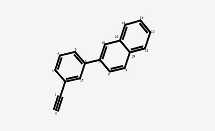 C#Cc1cccc(-c2ccc3ccccc3c2)c1